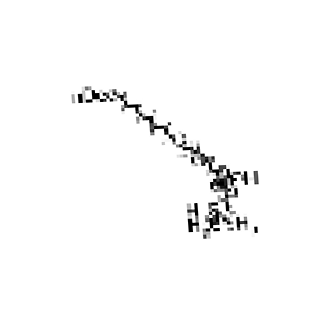 CCCCCCCCCCCCCCCCCCOCCOCCOP(=O)(O)OCC[N+](C)(C)C